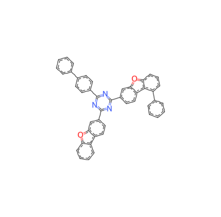 c1ccc(-c2ccc(-c3nc(-c4ccc5c(c4)oc4ccccc45)nc(-c4ccc5c(c4)oc4cccc(-c6ccccc6)c45)n3)cc2)cc1